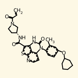 C=CC(=O)N1CC[C@@H](NC(=O)c2sc3nccc4c3c2NC(=O)N4c2ccc(OC3CCCCC3)cc2C)C1